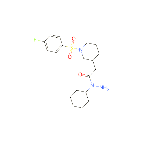 NN(C(=O)CC1CCCN(S(=O)(=O)c2ccc(F)cc2)C1)C1CCCCC1